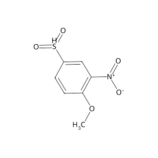 COc1ccc([SH](=O)=O)cc1[N+](=O)[O-]